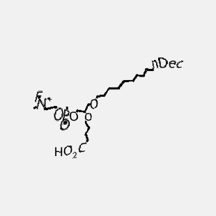 CCCCCCCCCCCCCCCCCCCCOCC(COP(C)(=O)OCC[N+](C)(C)F)OCCCCC(=O)O